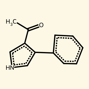 CC(=O)c1c[nH]cc1-c1ccccc1